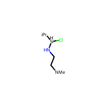 CNCCN[SiH](Cl)C(C)C